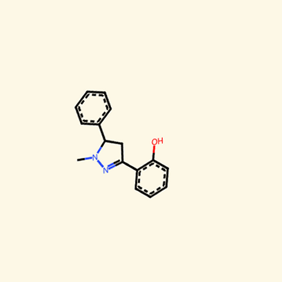 CN1N=C(c2ccccc2O)CC1c1ccccc1